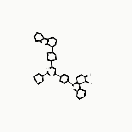 N=C1C=Cc2c(-c3ccc(-c4cc(-c5ccc(-c6cccc7c6sc6ccccc67)cc5)nc(-c5ccccc5)n4)cc3)nc3ccccc3c2/C1=N/S